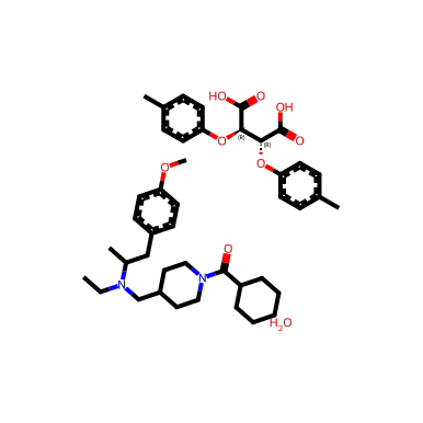 CCN(CC1CCN(C(=O)C2CCCCC2)CC1)C(C)Cc1ccc(OC)cc1.Cc1ccc(O[C@@H](C(=O)O)[C@@H](Oc2ccc(C)cc2)C(=O)O)cc1.O